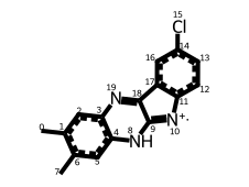 Cc1cc2c(cc1C)NC1=[N+]c3ccc(Cl)cc3C1=N2